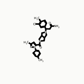 Cc1ccc(-n2nc(C)cc2C(=O)N2CC3CN(C(CC(N)=O)c4ccc(C)c(Cl)c4)CC3C2)cc1